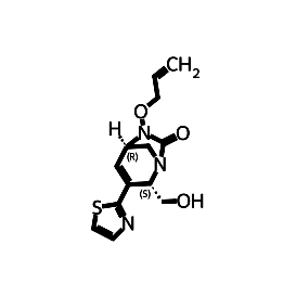 C=CCON1C(=O)N2C[C@H]1C=C(c1nccs1)[C@H]2CO